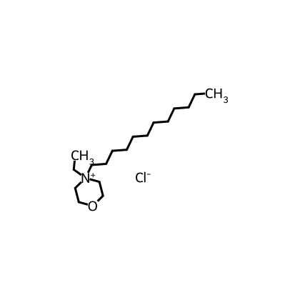 CCCCCCCCCCCC[N+]1(CC)CCOCC1.[Cl-]